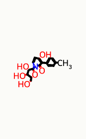 Cc1ccc(-c2c(O)ccn(C3OC(CO)C(O)C3O)c2=O)cc1